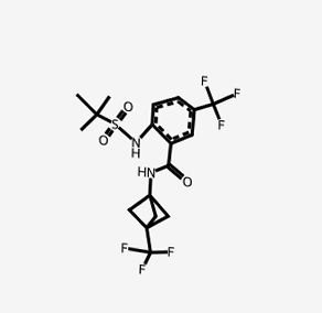 CC(C)(C)S(=O)(=O)Nc1ccc(C(F)(F)F)cc1C(=O)NC12CC(C(F)(F)F)(C1)C2